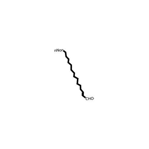 CCCCCCCCCCCCCCCCCCCCCC=C[C]=O